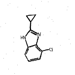 Clc1cccc2[nH]c(C3CC3)nc12